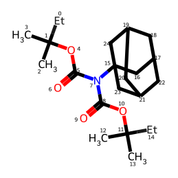 CCC(C)(C)OC(=O)N(C(=O)OC(C)(C)CC)C12CC3CC(CC(C3)C1)C2